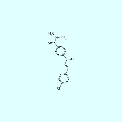 CN(C)C(=S)c1ccc(C(=O)C=Cc2ccc(Cl)cc2)cc1